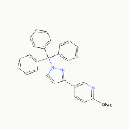 COc1ccc(-c2ccn(C(c3ccccc3)(c3ccccc3)c3ccccc3)n2)cn1